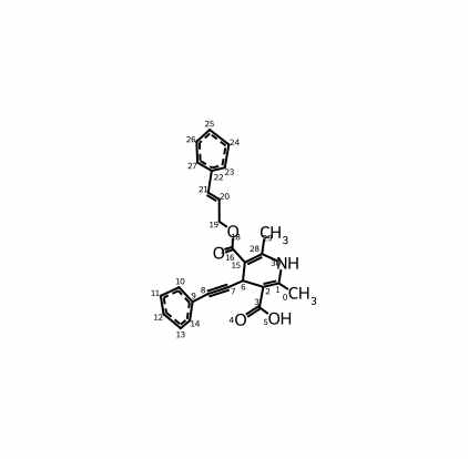 CC1=C(C(=O)O)C(C#Cc2ccccc2)C(C(=O)OCC=Cc2ccccc2)=C(C)N1